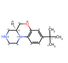 CC(C)(C)c1ccc2c(c1)OC[C@@H]1CNCCN21